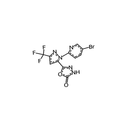 O=c1[nH]nc(-c2cc(C(F)(F)F)nn2-c2ccc(Br)cn2)o1